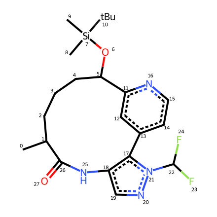 CC1CCCC(O[Si](C)(C)C(C)(C)C)c2cc(ccn2)-c2c(cnn2C(F)F)NC1=O